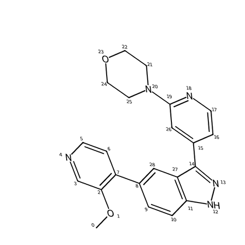 COc1cnccc1-c1ccc2[nH]nc(-c3ccnc(N4CCOCC4)c3)c2c1